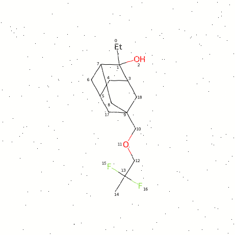 CCC1(O)C2CC3CC1CC(COCC(C)(F)F)(C3)C2